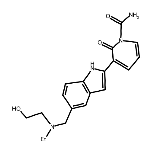 CCN(CCO)Cc1ccc2[nH]c(-c3c[c]cn(C(N)=O)c3=O)cc2c1